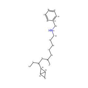 CCC(CC(C)CCCCCNCc1ccccc1)C1C2CC21